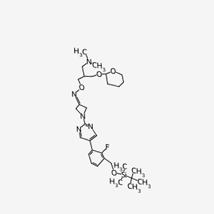 CN(C)CC(CON=C1CN(c2ncc(-c3cccc(CO[Si](C)(C)C(C)(C)C)c3F)cn2)C1)COC1CCCCO1